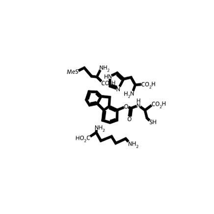 CSCCC(N)C(=O)O.NC(Cc1c[nH]cn1)C(=O)O.NCCCCC(N)C(=O)O.O=C(NC(CS)C(=O)O)Oc1cccc2c1Cc1ccccc1-2